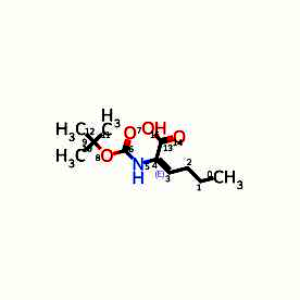 CCC/C=C(/NC(=O)OC(C)(C)C)C(=O)O